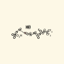 CN(CCN1CCC(N(C(=O)O)c2ccccc2-c2ccccc2)CC1)C(=O)CCCCCN1CCc2cc(C(=O)N(C)CCCN(C)C(=O)CO[C@H]3Cc4ccccc4C34CCN(CC[C@@]3(c5ccc(F)cc5)CN(C(=O)c5cc(C(F)(F)F)cc(C(F)(F)F)c5)CO3)CC4)ccc2C1.Cl.Cl.Cl